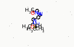 CCCC(N[S@@+]([O-])C(C)(C)C)c1cccc(-c2ccc3cnn(-c4cccc(C(C)=O)n4)c3c2)n1